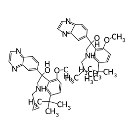 COc1ccc(C(C)(C)C)cc1C(O)(CNCC(C)C)c1ccc2nccnc2c1.COc1ccc(C(C)(C)C)cc1C(O)(CNCC1CC1)c1ccc2nccnc2c1